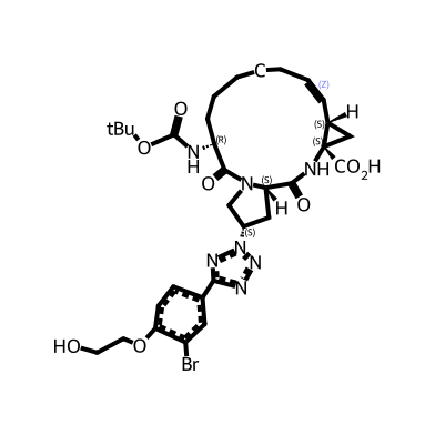 CC(C)(C)OC(=O)N[C@@H]1CCCCC/C=C\[C@@H]2C[C@]2(C(=O)O)NC(=O)[C@@H]2C[C@H](n3nnc(-c4ccc(OCCO)c(Br)c4)n3)CN2C1=O